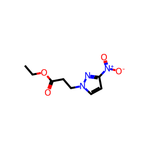 CCOC(=O)CCn1ccc([N+](=O)[O-])n1